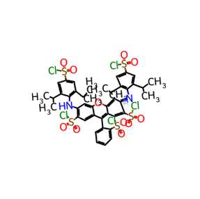 CC(C)c1cc(S(=O)(=O)Cl)cc(C(C)C)c1/N=c1\cc2oc3cc(Nc4c(C(C)C)cc(S(=O)(=O)Cl)cc4C(C)C)c(S(=O)(=O)Cl)cc3c(-c3ccccc3S(=O)(=O)Cl)c-2cc1S(=O)(=O)Cl